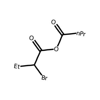 CCCC(=O)OC(=O)C(Br)CC